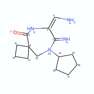 N=C1/C(=C\N)NC(=O)C2(CCC2)CN1C1CCCC1